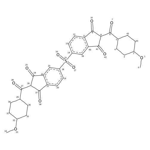 COC1CCC(C(=O)C2C(=O)c3ccc(S(=O)(=O)c4ccc5c(c4)C(=O)C(C(=O)C4CCC(OC)CC4)C5=O)cc3C2=O)CC1